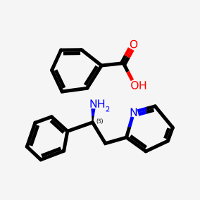 N[C@@H](Cc1ccccn1)c1ccccc1.O=C(O)c1ccccc1